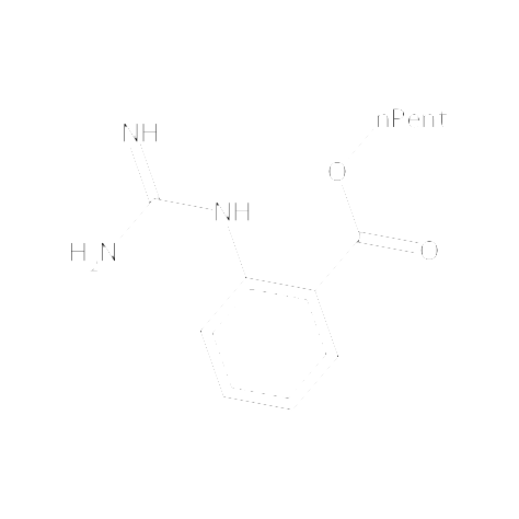 CCCCCOC(=O)c1ccccc1NC(=N)N